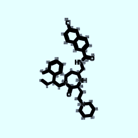 CC[C@H](CN1CC[C@@H](CNC(=O)c2ccc3cc(Cl)ccc3c2)N[C@@H](CCN2CCCCC2)C1=O)C1C=CC=CC1C